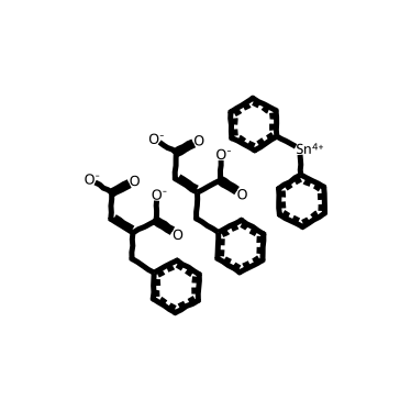 O=C([O-])/C=C(/Cc1ccccc1)C(=O)[O-].O=C([O-])/C=C(/Cc1ccccc1)C(=O)[O-].c1cc[c]([Sn+4][c]2ccccc2)cc1